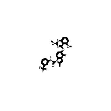 COc1nc(Oc2ccc3c(cc(C)n3C(=O)Nc3cccc(C(F)(F)F)c3)c2F)c2c(OC)cccc2n1